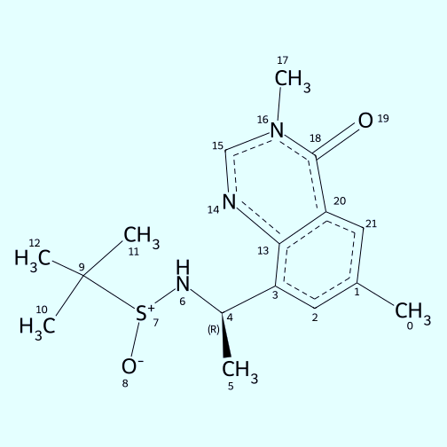 Cc1cc([C@@H](C)N[S+]([O-])C(C)(C)C)c2ncn(C)c(=O)c2c1